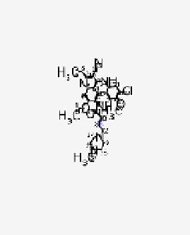 CCOc1cc2nc(CC)c(C#N)c(Nc3ccc(OC)c(Cl)c3)c2cc1NC(=O)/C=C/CN1CCN(C)CC1